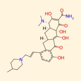 CC1CCN(C/C=C/c2ccc(O)c3c2C[C@H]2C[C@H]4[C@H](N(C)C)C(O)=C(C(N)=O)C(=O)[C@@]4(O)C(O)=C2C3=O)CC1